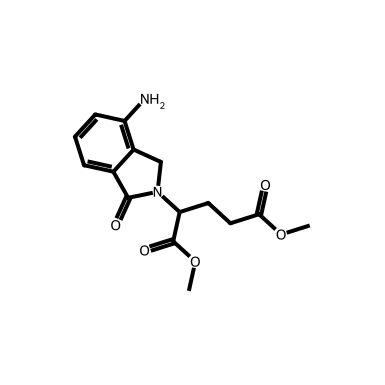 COC(=O)CCC(C(=O)OC)N1Cc2c(N)cccc2C1=O